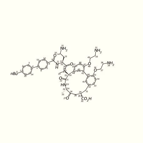 CCCCc1ccc(-c2ccc(C(=O)N[C@@H](CCN)C(=O)N(C)[C@@H]3C(=O)N[C@@H](C)C(=O)C[C@H](C(=O)O)Cc4ccc(OCCN)c(c4)-c4cc3ccc4OCCN)cc2)cc1